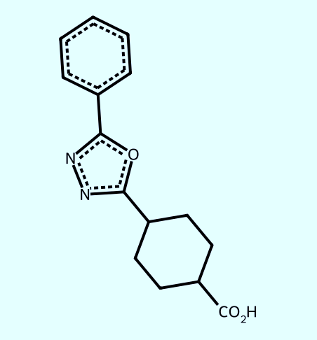 O=C(O)C1CCC(c2nnc(-c3ccccc3)o2)CC1